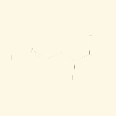 ON=CCC(F)C(F)F